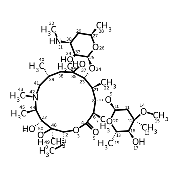 CC[C@H]1OC(=O)[C@H](C)[C@@H](O[C@H]2C[C@@](C)(OC)[C@@H](O)[C@H](C)O2)[C@H](C)[C@@H](O[C@@H]2O[C@H](C)C[C@H](NC)[C@@H]2O)[C@](C)(O)C[C@@H](C)CN(C)[C@H](C)[C@@H](O)[C@]1(C)O